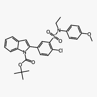 CCN(c1ccc(OC)cc1)S(=O)(=O)c1cc(-c2cc3ccccc3n2C(=O)OC(C)(C)C)ccc1Cl